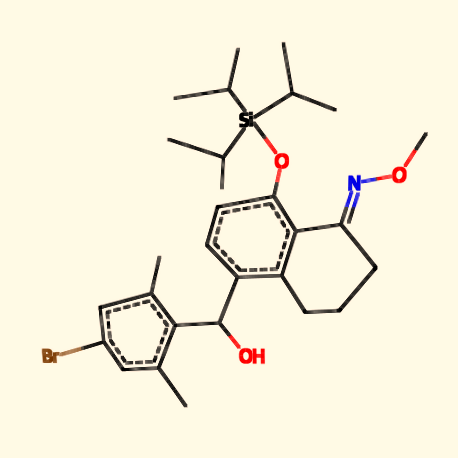 CO/N=C1\CCCc2c(C(O)c3c(C)cc(Br)cc3C)ccc(O[Si](C(C)C)(C(C)C)C(C)C)c21